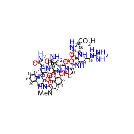 CNC(Cc1ccc(O)cc1)C(=O)N[C@@H](Cc1ccccc1)C(=O)NC(CCC(N)=O)C(=O)N[C@@H](CC(N)=O)C(=O)NC(C)C(=O)N1CCC[C@H]1C(=O)N[C@@H](CCCNC(=N)N)C(=O)N[C@@H](CCC(=O)O)C(N)=O